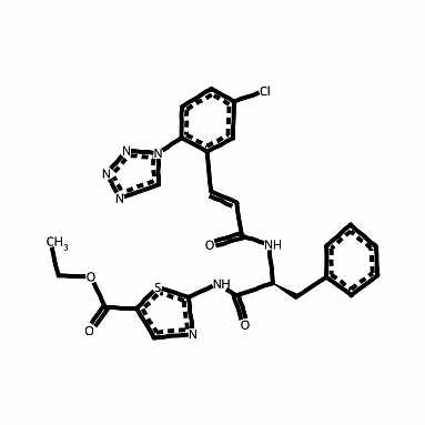 CCOC(=O)c1cnc(NC(=O)[C@H](Cc2ccccc2)NC(=O)/C=C/c2cc(Cl)ccc2-n2cnnn2)s1